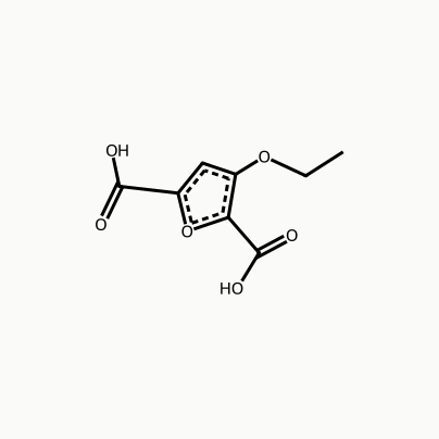 CCOc1cc(C(=O)O)oc1C(=O)O